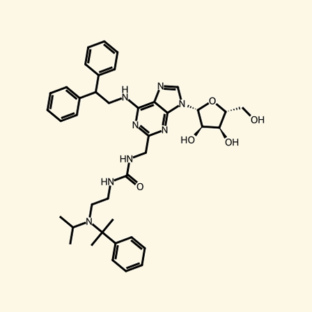 CC(C)N(CCNC(=O)NCc1nc(NCC(c2ccccc2)c2ccccc2)c2ncn([C@@H]3O[C@H](CO)[C@@H](O)[C@H]3O)c2n1)C(C)(C)c1ccccc1